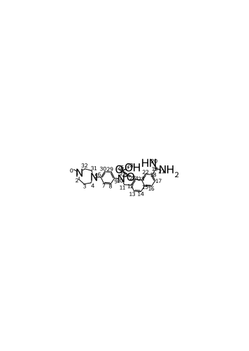 CN1CCCN(c2ccc(N(Cc3ccc4ccc(C(=N)N)cc4c3)S(=O)(=O)O)cc2)CC1